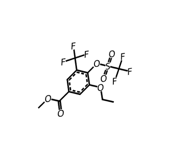 CCOc1cc(C(=O)OC)cc(C(F)(F)F)c1OS(=O)(=O)C(F)(F)F